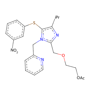 CC(=O)OCCOCc1nc(C(C)C)c(Sc2cccc([N+](=O)[O-])c2)n1Cc1ccccn1